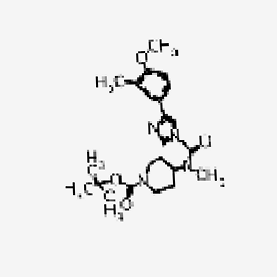 COc1ccc(-c2cn(C(=O)N(C)C3CCN(C(=O)OC(C)(C)C)CC3)cn2)cc1C